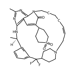 Cc1nc2c3cc(C4CCS(=O)(=O)CC4)c(=O)n(c3n1)CCCC/C=C\CN1CCC(CC1)C(F)(F)c1cccc(c1)[C@@H](C)N2